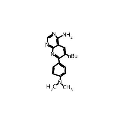 CCCCc1cc2c(N)ncnc2nc1-c1ccc(N(C)C)cc1